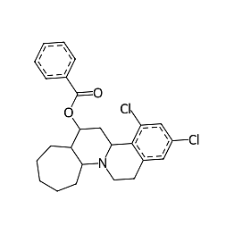 O=C(OC1CC2c3c(Cl)cc(Cl)cc3CCN2C2CCCCCC12)c1ccccc1